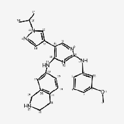 COc1cccc(Nc2ncc(-c3cnn(C(C)C)c3)c(Nc3ccc4c(c3)CNCC4)n2)c1